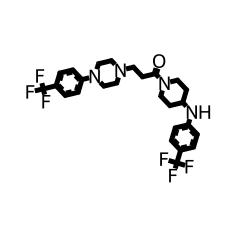 O=C(CCN1CCN(c2ccc(C(F)(F)F)cc2)CC1)N1CCC(Nc2ccc(C(F)(F)F)cc2)CC1